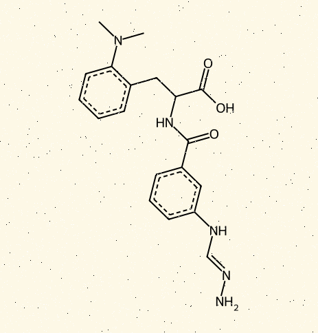 CN(C)c1ccccc1CC(NC(=O)c1cccc(NC=NN)c1)C(=O)O